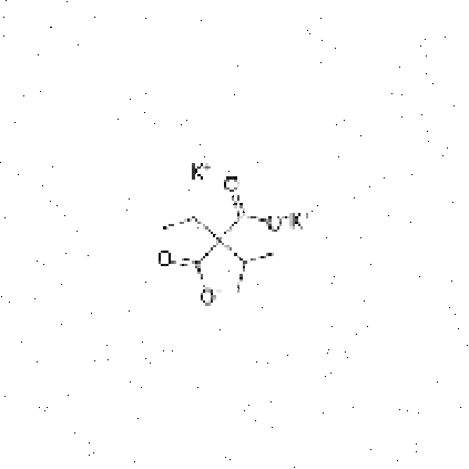 CCC(C(=O)[O-])(C(=O)[O-])C(C)C.[K+].[K+]